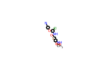 CS(=O)(=O)Nc1ccc2sc(C(=O)Nc3cc(Cl)cc(Oc4ccc(C#N)cc4)c3)cc2c1